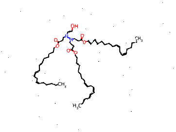 CCCCC/C=C\C/C=C\CCCCCCCCOC(=O)CCN(CCO)N(CCC(=O)OCCCCCCCC/C=C\C/C=C\CCCCC)CCC(=O)OCCCCCCCC/C=C\C/C=C\CCCCC